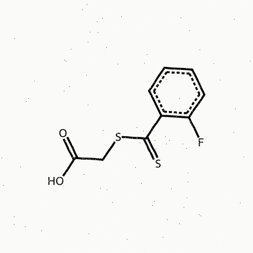 O=C(O)CSC(=S)c1ccccc1F